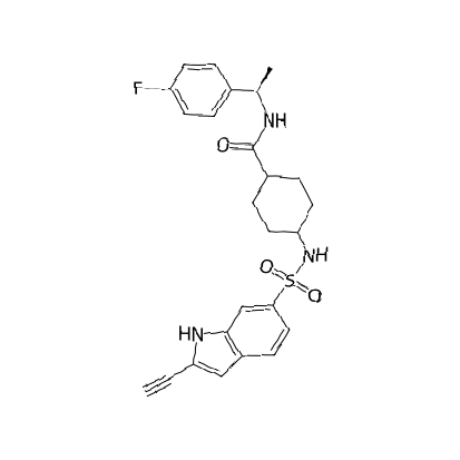 C#Cc1cc2ccc(S(=O)(=O)NC3CCC(C(=O)N[C@H](C)c4ccc(F)cc4)CC3)cc2[nH]1